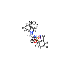 Cc1cc(C)c(S(=O)(=O)NC(Cn2ccc3c([N+](=O)[O-])cccc32)C(F)(F)F)c(C)c1